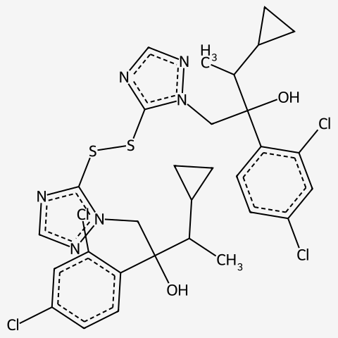 CC(C1CC1)C(O)(Cn1ncnc1SSc1ncnn1CC(O)(c1ccc(Cl)cc1Cl)C(C)C1CC1)c1ccc(Cl)cc1Cl